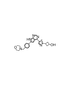 OC1CC(c2ncc(-c3ncnc4[nH]c(-c5ccc(CN6CCOCC6)cc5)cc34)s2)C1